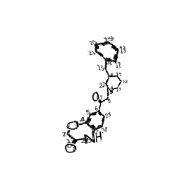 O=C1COc2cc(C(=O)CN3CCCC(Cc4ccccc4)C3)ccc2N1